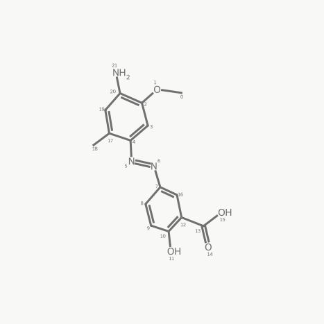 COc1cc(/N=N/c2ccc(O)c(C(=O)O)c2)c(C)cc1N